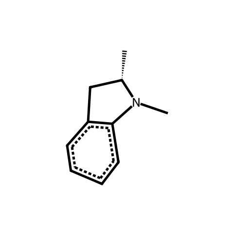 C[C@H]1Cc2ccccc2N1C